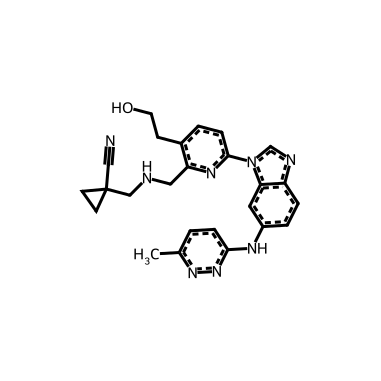 Cc1ccc(Nc2ccc3ncn(-c4ccc(CCO)c(CNCC5(C#N)CC5)n4)c3c2)nn1